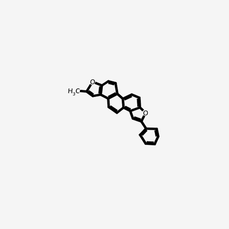 Cc1cc2c(ccc3c2ccc2c4cc(-c5ccccc5)oc4ccc23)o1